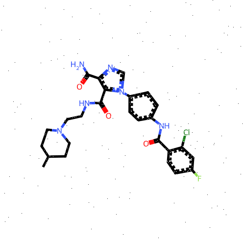 CC1CCN(CCNC(=O)c2c(C(N)=O)ncn2-c2ccc(NC(=O)c3ccc(F)cc3Cl)cc2)CC1